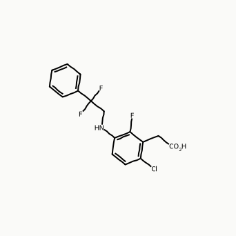 O=C(O)Cc1c(Cl)ccc(NCC(F)(F)c2ccccc2)c1F